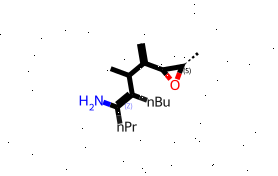 C=C(C(C)/C(CCCC)=C(\N)CCC)C1O[C@H]1C